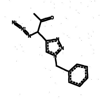 CC(=O)C(N=[N+]=[N-])c1cn(Cc2ccccc2)nn1